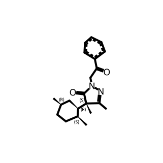 CC1=NN(CC(=O)c2ccccc2)C(=O)[C@@]1(C)[C@@H]1C[C@H](C)CC[C@@H]1C